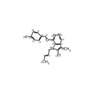 CC=CCn1c(CC)c(C)c2cnnc(OCc3ccc(F)cc3)c21